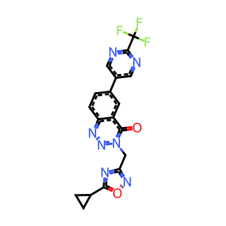 O=c1c2cc(-c3cnc(C(F)(F)F)nc3)ccc2nnn1Cc1noc(C2CC2)n1